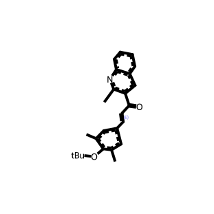 Cc1cc(/C=C/C(=O)c2cc3ccccc3nc2C)cc(C)c1OC(C)(C)C